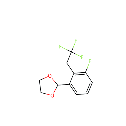 Fc1cccc(C2OCCO2)c1CC(F)(F)F